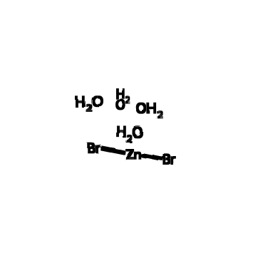 O.O.O.O.[Br][Zn][Br]